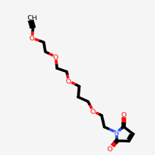 C#COCCOCCOCCCOCCN1C(=O)C=CC1=O